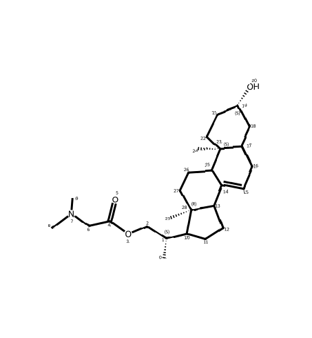 C[C@H](COC(=O)CN(C)C)C1CCC2C3=CCC4C[C@@H](O)CC[C@]4(C)C3CC[C@@]21C